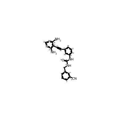 N#Cc1cccc(CNC(=O)Nc2cccc(C#Cc3c(N)ncnc3N)c2)c1